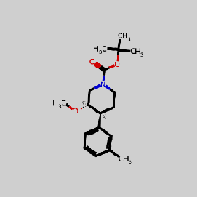 CO[C@@H]1CN(C(=O)OC(C)(C)C)CC[C@H]1c1cccc(C)c1